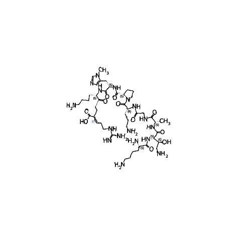 C[C@H](NC(=O)[C@@H](NC(=O)[C@@H](N)CCCCN)[C@@H](O)CN)C(=O)NCC(=O)N[C@H](CCCN)C(=O)N1CCC[C@H]1C(=O)N[C@@H](Cc1cncn1C)C(=O)N[C@@H](CCCCN)C(=O)CC/C(=C\CCNC(=N)N)C(=O)O